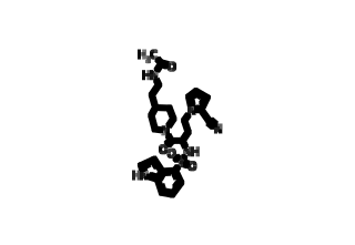 CC(=O)NCCC1CCN(C(=O)C(CCn2cccc2C#N)NS(=O)(=O)c2cccc3[nH]ccc23)CC1